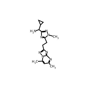 Cc1cc(C)n2nc(CCc3nc(C(N)C4CC4)nn3C)nc2n1